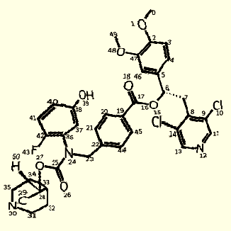 COc1ccc([C@H](Cc2c(Cl)cncc2Cl)OC(=O)c2ccc(CN(C(=O)O[C@H]3CN4CCC3CC4)c3cc(O)ccc3F)cc2)cc1OC